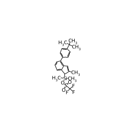 CC1=Cc2c(-c3ccc(C(C)(C)C)cc3)cccc2C1[Si](C)(C)OS(=O)(=O)C(F)(F)F